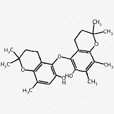 Cc1cc(O)c(Oc2c(O)c(C)c(C)c3c2CCC(C)(C)O3)c2c1OC(C)(C)CC2